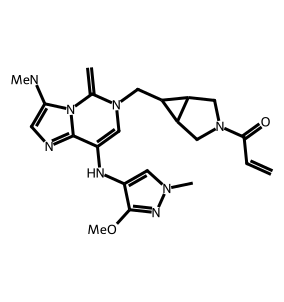 C=CC(=O)N1CC2C(CN3C=C(Nc4cn(C)nc4OC)c4ncc(NC)n4C3=C)C2C1